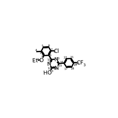 CCOc1c(C)ccc(Cl)c1-c1nc(O)nc(-c2ccc(C(F)(F)F)cc2)n1